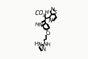 O=C(O)CC(c1c[nH]c2cc(OCCCNc3ncc[nH]3)ccc12)c1nccc2sncc12